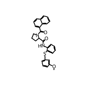 COc1cccc(Sc2ccccc2NC(=O)C2CCCN2C(=O)c2cccc3ccccc23)c1